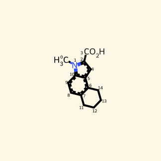 Cn1c(C(=O)O)cc2c3c(ccc21)CCCC3